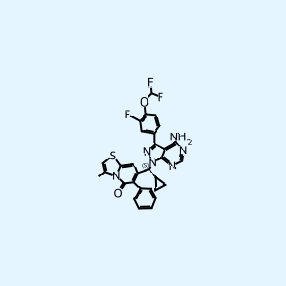 Cc1csc2cc([C@H](C3CC3)n3nc(-c4ccc(OC(F)F)c(F)c4)c4c(N)ncnc43)c(-c3ccccc3)c(=O)n12